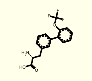 N[C@H](Cc1cccc(-c2ccccc2OC(F)(F)F)c1)C(=O)O